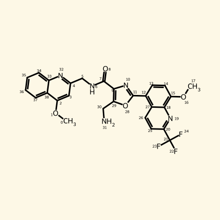 COc1cc(CNC(=O)c2nc(-c3ccc(OC)c4nc(C(F)(F)F)ccc34)oc2CN)nc2ccccc12